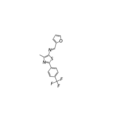 Cc1nc(-c2ccc(C(F)(F)F)cc2)sc1N=Cc1ccco1